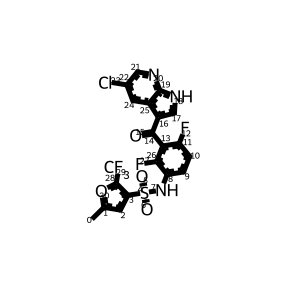 Cc1cc(S(=O)(=O)Nc2ccc(F)c(C(=O)c3c[nH]c4ncc(Cl)cc34)c2F)c(C(F)(F)F)o1